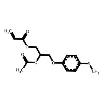 C=CC(=O)OCC(COc1ccc(SC)cc1)OC(C)=O